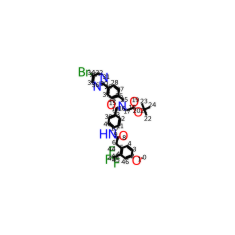 COc1ccc(CC(=O)Nc2ccc(C(=O)N(CC(=O)OC(C)(C)C)Cc3ccc(-c4ncc(Br)cn4)cc3)cc2)c(C(F)(F)F)c1